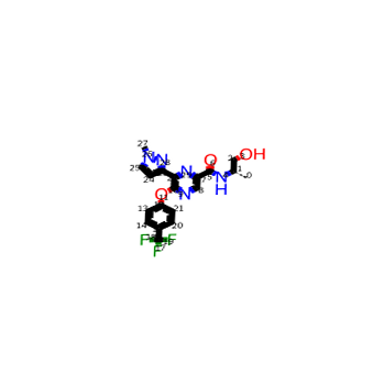 C[C@@H](CO)NC(=O)c1cnc(Oc2ccc(C(F)(F)F)cc2)c(-c2ccn(C)n2)n1